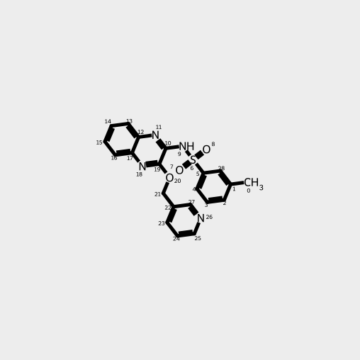 Cc1cccc(S(=O)(=O)Nc2nc3ccccc3nc2OCc2cccnc2)c1